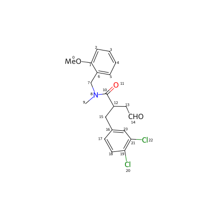 COc1ccccc1CN(C)C(=O)C(CC=O)Cc1ccc(Cl)c(Cl)c1